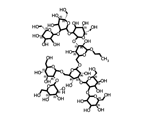 CCCOC1OC(COC2OC(COC3OC(CO)[C@@H](O)[C@H](O)[C@H]3OC3OC(CO)[C@@H](O)[C@H](O)[C@H]3O)[C@@H](O)[C@H](OC3O[C@@H](CO)[C@@H](O)C(O)C3OC3O[C@@H](CO)[C@@H](O)C(O)C3O)[C@H]2O)[C@@H](O)[C@H](OC2O[C@@H](CO)[C@@H](O)C(O)C2OC2O[C@@H](CO)[C@@H](O)C(O)C2OC2O[C@@H](CO)[C@@H](O)C(O)C2O)[C@H]1O